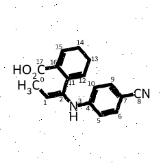 CC=C(Nc1ccc(C#N)cc1)C1=CCCC=C1C(=O)O